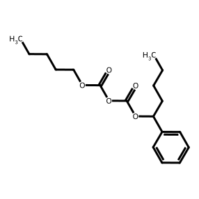 CCCCCOC(=O)OC(=O)OC(CCCC)c1ccccc1